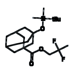 CC(F)(F)COC(=O)C12CC3CC(CC(O[Si](C)(C)C(C)(C)C)(C3)C1)C2